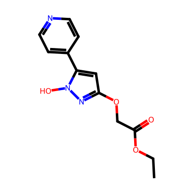 CCOC(=O)COc1cc(-c2ccncc2)n(O)n1